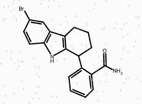 NC(=O)c1ccccc1C1CCCc2c1[nH]c1ccc(Br)cc21